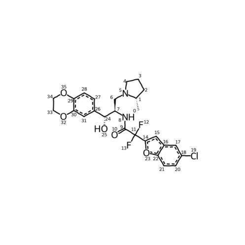 C[C@H]1CCCN1C[C@@H](NC(=O)C(F)(F)c1cc2cc(Cl)ccc2o1)[C@H](O)c1ccc2c(c1)OCCO2